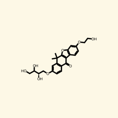 CC1(C)c2cc(OC[C@@H](O)C(O)CO)ccc2C(=O)c2c1oc1cc(OCCO)ccc21